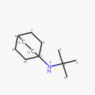 CC(C)(C)NC12CCC(CC1)CC2